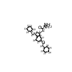 NNC(=O)Cc1cn(Cc2ccccc2)c2ccc(OCc3ccccc3)cc12